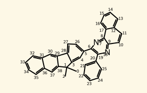 CC1(C)c2cc(-c3nc4c(ccc5ccccc54)nc3-c3ccccc3)ccc2-c2cc3ccccc3cc21